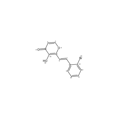 O=c1ccoc(/C=C/c2ccccc2Br)c1O